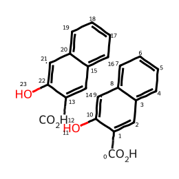 O=C(O)c1cc2ccccc2[c]c1O.O=C(O)c1cc2ccccc2[c]c1O